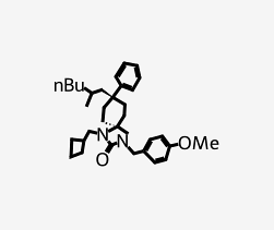 CCCCC(C)C[C@]1(c2ccccc2)CC[C@]2(CC1)CN(Cc1ccc(OC)cc1)C(=O)N2CC1CCC1